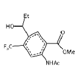 CCC(O)c1cc(C(=O)OC)c(NC(C)=O)cc1C(F)(F)F